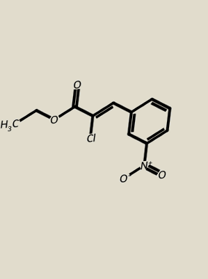 CCOC(=O)/C(Cl)=C/c1cccc([N+](=O)[O-])c1